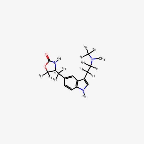 [2H]N1C(=O)OC([2H])([2H])[C@@H]1C([2H])([2H])c1ccc2c(c1)c(C([2H])([2H])C([2H])([2H])N(C)C([2H])([2H])[2H])cn2[2H]